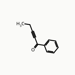 CCC#CC(=O)c1ccccc1